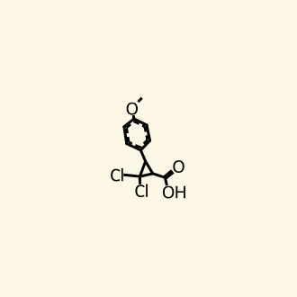 COc1ccc(C2C(C(=O)O)C2(Cl)Cl)cc1